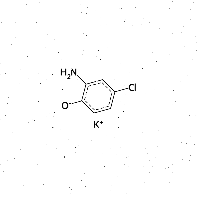 Nc1cc(Cl)ccc1[O-].[K+]